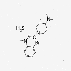 CN(SON1CCC(N(C)C)CC1)c1ccccc1Br.S